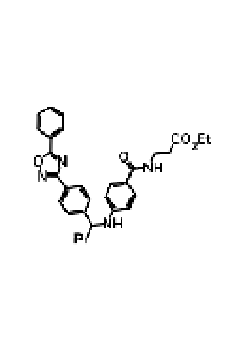 CCOC(=O)CCNC(=O)c1ccc(NC(c2ccc(-c3noc(-c4ccccc4)n3)cc2)C(C)C)cc1